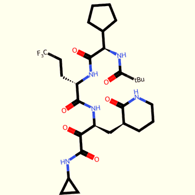 CC(C)(C)C(=O)N[C@@H](C(=O)N[C@@H](CCC(F)(F)F)C(=O)N[C@@H](C[C@@H]1CCCNC1=O)C(=O)C(=O)NC1CC1)C1CCCC1